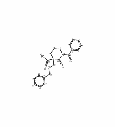 O=C(c1ccccc1)N1CCCC(CC=Cc2ccccc2)(C(=O)O)C1=O